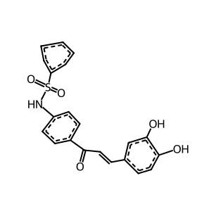 O=C(C=Cc1ccc(O)c(O)c1)c1ccc(NS(=O)(=O)c2ccccc2)cc1